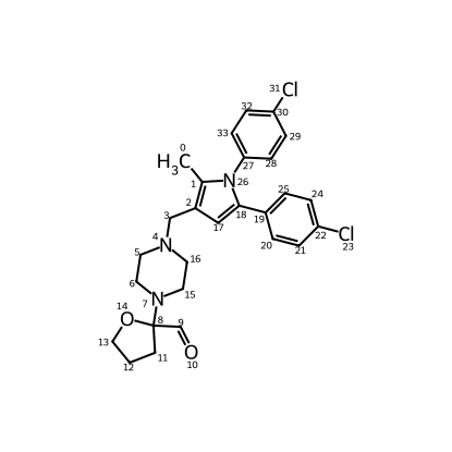 Cc1c(CN2CCN(C3(C=O)CCCO3)CC2)cc(-c2ccc(Cl)cc2)n1-c1ccc(Cl)cc1